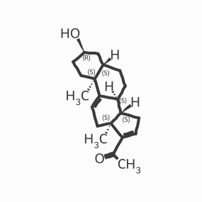 CC(=O)C1=CC[C@H]2[C@@H]3CC[C@H]4C[C@H](O)CC[C@]4(C)C3=CC[C@]12C